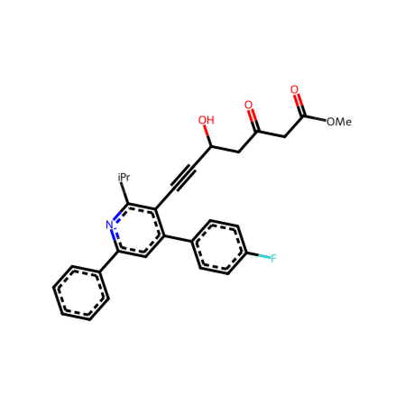 COC(=O)CC(=O)CC(O)C#Cc1c(-c2ccc(F)cc2)cc(-c2ccccc2)nc1C(C)C